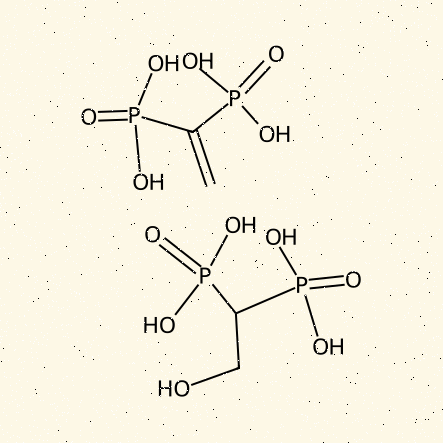 C=C(P(=O)(O)O)P(=O)(O)O.O=P(O)(O)C(CO)P(=O)(O)O